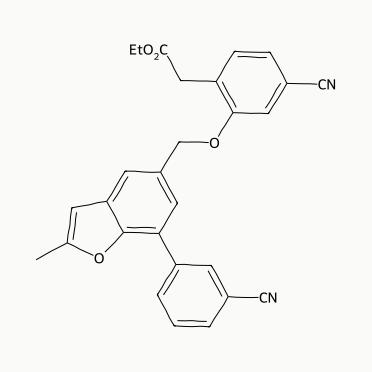 CCOC(=O)Cc1ccc(C#N)cc1OCc1cc(-c2cccc(C#N)c2)c2oc(C)cc2c1